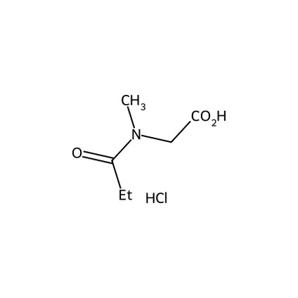 CCC(=O)N(C)CC(=O)O.Cl